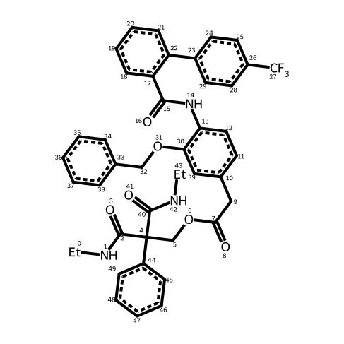 CCNC(=O)C(COC(=O)Cc1ccc(NC(=O)c2ccccc2-c2ccc(C(F)(F)F)cc2)c(OCc2ccccc2)c1)(C(=O)NCC)c1ccccc1